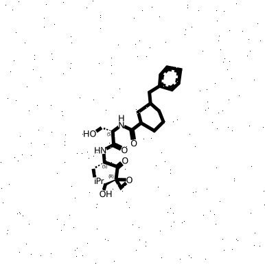 CC(C)C[C@H](NC(=O)[C@H](CO)NC(=O)C1CCCC(Cc2ccccc2)C1)C(=O)[C@@]1(CO)CO1